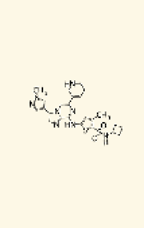 Cc1cc(NC2=NC(C3=CCCNC3)=CN3C2=NCC3c2cnn(C)c2)sc1S(=O)(=O)NC1CCC1